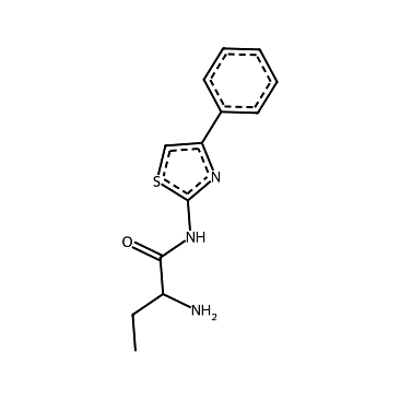 CCC(N)C(=O)Nc1nc(-c2ccccc2)cs1